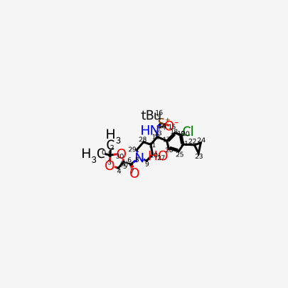 CC1(C)OC[C@H](C(=O)N2CCC(C(N[S@@+]([O-])C(C)(C)C)c3cc(Cl)c(C4CC4)cc3O)CC2)O1